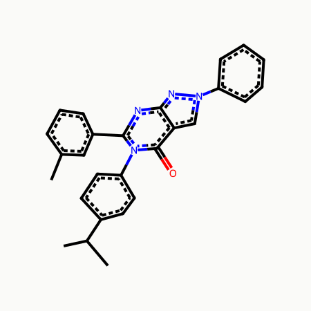 Cc1cccc(-c2nc3nn(-c4ccccc4)cc3c(=O)n2-c2ccc(C(C)C)cc2)c1